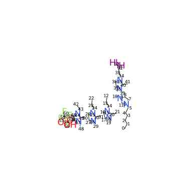 CCCCCCN1CCN(C)C1.CCCN1CCN(C)C1C.CCCN1CCN(C)C1C.CCCN1CCN(C)C1C.CCN1C=CN(C)C1C.I.I.O=S(=O)(O)C(F)(F)F